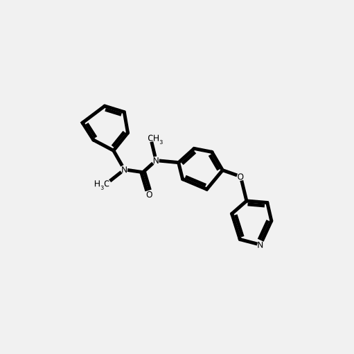 CN(C(=O)N(C)c1ccc(Oc2ccncc2)cc1)c1ccccc1